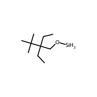 CCC(CC)(CO[SiH3])C(C)(C)C